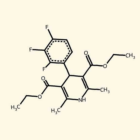 CCOC(=O)C1=C(C)NC(C)=C(C(=O)OCC)C1c1ccc(F)c(F)c1F